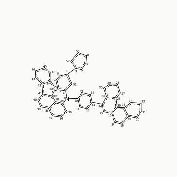 c1ccc(-c2cccc(N(c3ccc(-c4cc5ccc6ccccc6c5c5ccccc45)cc3)c3cccc4ccc5c6ccccc6oc5c34)c2)cc1